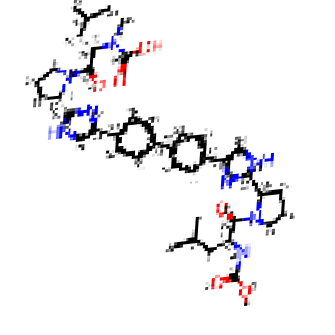 COC(=O)N[C@@H](CC(C)C)C(=O)N1CCCC1c1nc(-c2ccc(-c3ccc(-c4c[nH]c([C@@H]5CCCN5C(=O)[C@H](CC(C)C)N(C)C(=O)O)n4)cc3)cc2)c[nH]1